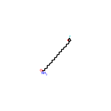 NC(=O)CCCCCCCCCCCCCCCCCCCCCC12CC(F)(C1)C2